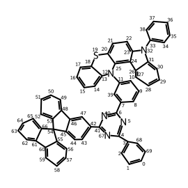 c1ccc(-c2nc(-c3cccc(N4c5ccccc5Sc5ccc6c(c54)c4ccccc4n6-c4ccccc4)c3)nc(-c3ccc4c(c3)-c3ccccc3C43c4ccccc4-c4ccccc43)n2)cc1